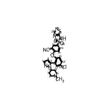 CN1CCC(n2nccc2-c2cc(Cl)ccc2Oc2ccc(S(=O)(=O)Nc3ncns3)cc2C#N)CC1